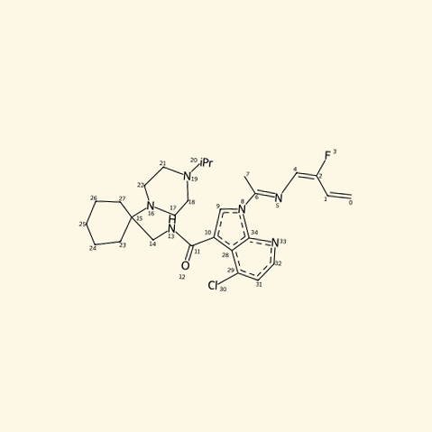 C=C/C(F)=C\N=C(C)n1cc(C(=O)NCC2(N3CCN(C(C)C)CC3)CCCCC2)c2c(Cl)ccnc21